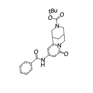 CC(C)(C)OC(=O)N1CC2CC(C1)c1cc(NC(=O)c3ccccc3)cc(=O)n1C2